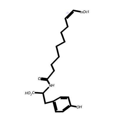 CCCCCCCC/C=C\CCCCCCCC(=O)NC(Cc1ccc(O)cc1)C(=O)O